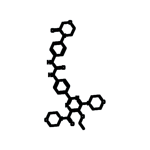 CCOc1c(C(=O)N2CCOCC2)nc(-c2ccc(NC(=O)Nc3ccc(N4CCOCC4=O)cc3)cc2)nc1N1CCOCC1